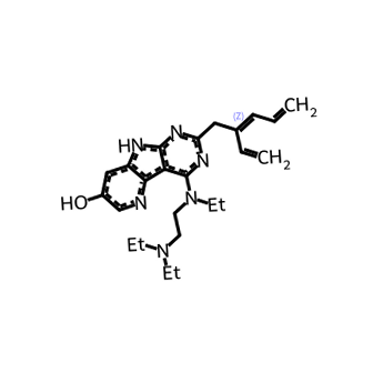 C=C/C=C(\C=C)Cc1nc(N(CC)CCN(CC)CC)c2c(n1)[nH]c1cc(O)cnc12